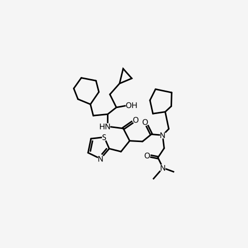 CN(C)C(=O)CN(CC1CCCCC1)C(=O)CC(Cc1nccs1)C(=O)NC(CC1CCCCC1)C(O)CC1CC1